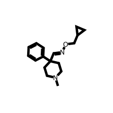 CN1CCC(C=NOCC2CC2)(c2ccccc2)CC1